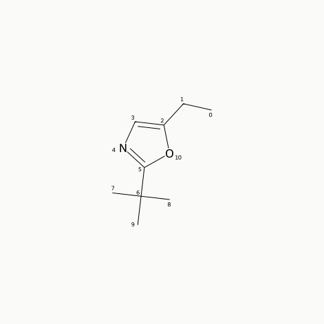 CCc1cnc(C(C)(C)C)o1